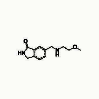 COCCNCc1ccc2c(c1)C(=O)NC2